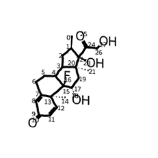 C[C@@H]1CC2C3CCC4=CC(=O)C=C[C@]4(C)[C@@]3(F)[C@@H](O)C[C@]2(C)[C@@]1(O)C(=O)CO